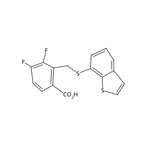 O=C(O)c1ccc(F)c(F)c1CSc1cccc2ccsc12